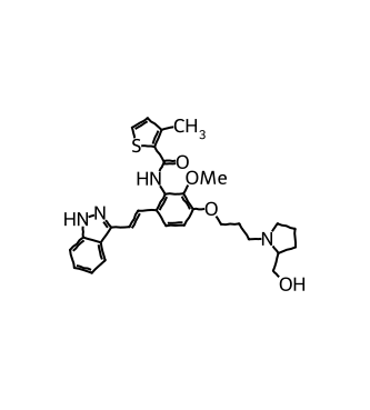 COc1c(OCCCN2CCCC2CO)ccc(/C=C/c2n[nH]c3ccccc23)c1NC(=O)c1sccc1C